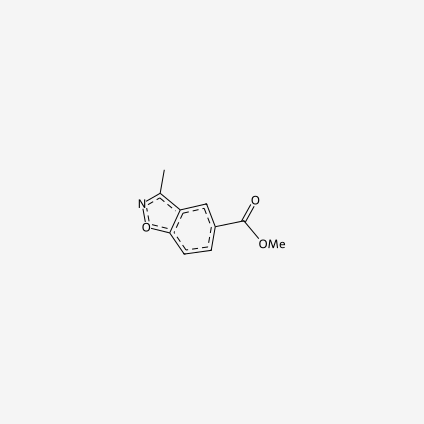 COC(=O)c1ccc2onc(C)c2c1